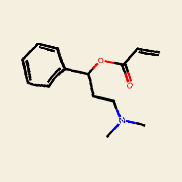 C=CC(=O)OC(CCN(C)C)c1ccccc1